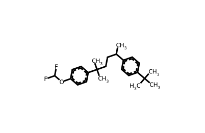 CC(CCC(C)(C)c1ccc(OC(F)F)cc1)c1ccc(C(C)(C)C)cc1